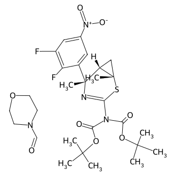 CC(C)(C)OC(=O)N(C(=O)OC(C)(C)C)C1=N[C@](C)(c2cc([N+](=O)[O-])cc(F)c2F)[C@@H]2C[C@]2(C)S1.O=CN1CCOCC1